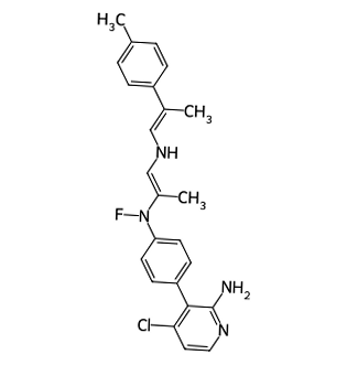 C/C(=C\N/C=C(\C)N(F)c1ccc(-c2c(Cl)ccnc2N)cc1)c1ccc(C)cc1